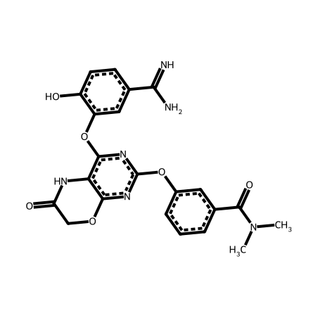 CN(C)C(=O)c1cccc(Oc2nc3c(c(Oc4cc(C(=N)N)ccc4O)n2)NC(=O)CO3)c1